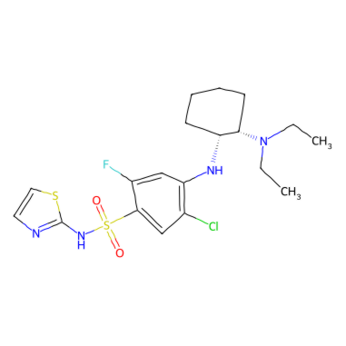 CCN(CC)[C@H]1CCCC[C@H]1Nc1cc(F)c(S(=O)(=O)Nc2nccs2)cc1Cl